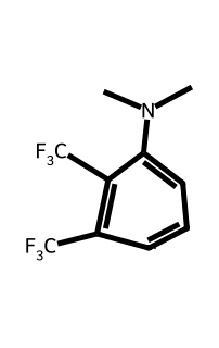 CN(C)c1cc[c]c(C(F)(F)F)c1C(F)(F)F